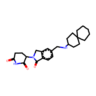 O=C1CCC(N2Cc3cc(CNC4CCC5(CCCCC5)CC4)ccc3C2=O)C(=O)N1